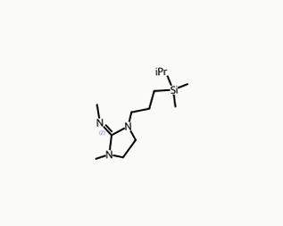 C/N=C1/N(C)CCN1CCC[Si](C)(C)C(C)C